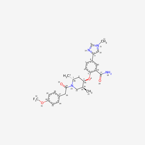 C[C@@H]1C[C@@H](Oc2ccc(-c3cn(C)cn3)cc2C(N)=O)[C@@H](C)CN1C(=O)Cc1ccc(OC(F)(F)F)cc1